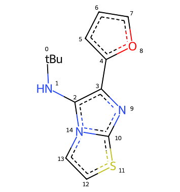 CC(C)(C)Nc1c(-c2ccco2)nc2sccn12